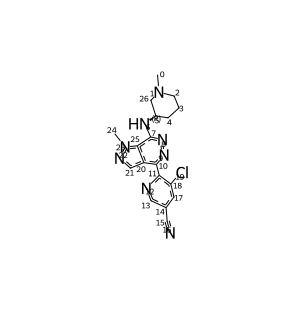 CN1CCC[C@@H](Nc2nnc(-c3ncc(C#N)cc3Cl)c3cnn(C)c23)C1